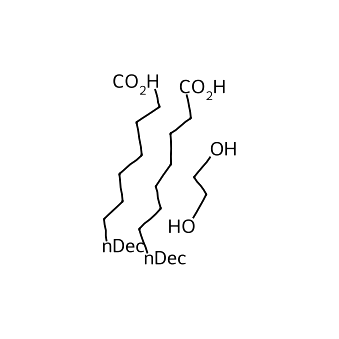 CCCCCCCCCCCCCCCCC(=O)O.CCCCCCCCCCCCCCCCC(=O)O.OCCO